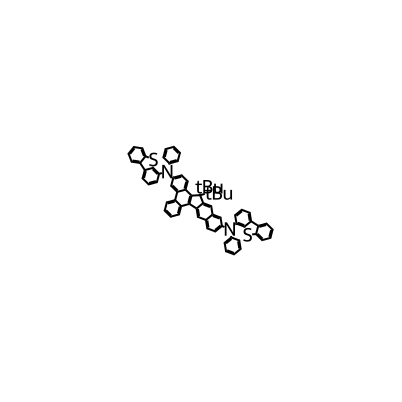 CC(C)(C)C1(C(C)(C)C)c2cc3cc(N(c4ccccc4)c4cccc5c4sc4ccccc45)ccc3cc2-c2c1c1ccc(N(c3ccccc3)c3cccc4c3sc3ccccc34)cc1c1ccccc21